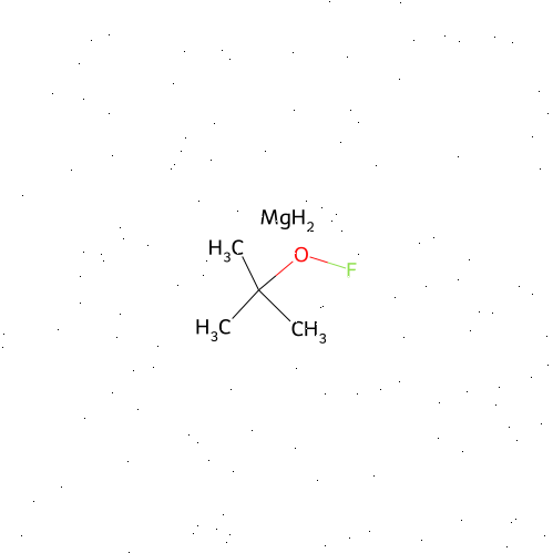 CC(C)(C)OF.[MgH2]